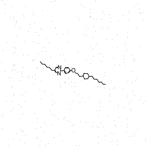 CCCCCCCC1CCC(CCCOc2ccc(-c3ncc(CCCCCC)cn3)cc2)CC1